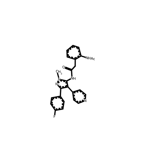 CC(=O)Nc1ccccc1CC(=O)Nc1c(-c2ccncc2)c(-c2ccc(F)cc2)nn1C